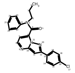 CCCN(C(=O)c1ccnc2cc(-c3ccc(Cl)cc3)nn12)c1ccccc1